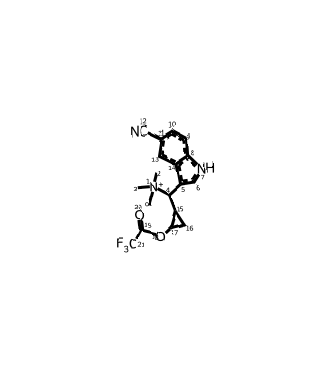 C[N+](C)(C)C(c1c[nH]c2ccc(C#N)cc12)C1CC1OC(=O)C(F)(F)F